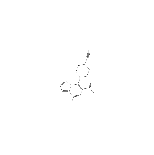 CC(=O)c1cc(Cl)c2ccnn2c1N1CCC(C#N)CC1